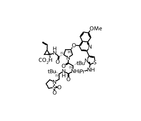 C=CC1C[C@]1(NC(=O)[C@@H]1C[C@@H](Oc2cc(-c3csc(NC(C)C)n3)nc3cc(OC)ccc23)CN1C(=O)[C@@H](NC(=O)N[C@H](CN1CCCS1(=O)=O)C(C)(C)C)C(C)(C)C)C(=O)O